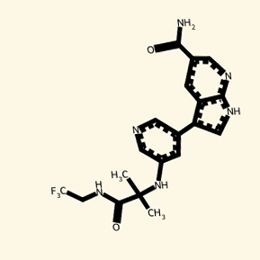 CC(C)(Nc1cncc(-c2c[nH]c3ncc(C(N)=O)cc23)c1)C(=O)NCC(F)(F)F